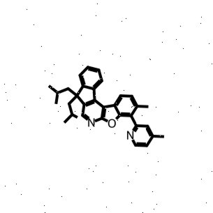 Cc1ccnc(-c2c(C)ccc3c2oc2ncc4c(c23)-c2ccccc2C4(CC(C)C)CC(C)C)c1